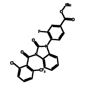 CC(C)(C)OC(=O)c1ccc(-n2c(=O)n(C(=O)c3c(Cl)cccc3C(F)(F)F)c3ccccc32)c(F)c1